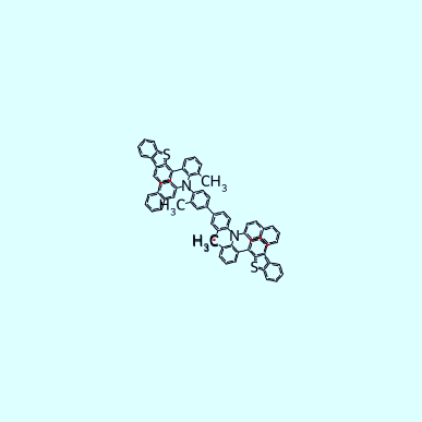 Cc1cc(-c2ccc(N(c3ccc4ccccc4c3)c3c(C)cccc3-c3cccc4c3sc3ccccc34)c(C)c2)ccc1N(c1ccc2ccccc2c1)c1c(C)cccc1-c1cccc2c1sc1ccccc12